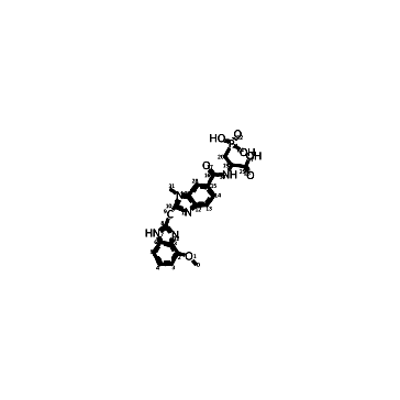 COc1cccc2[nH]c(Cc3nc4ccc(C(=O)NC(CP(=O)(O)O)C(=O)O)cc4n3C)nc12